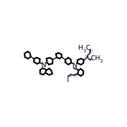 C=C/C(=C\C=C/C)c1ccc(N(\C=c2/cccc/c2=C/C=C\I)c2ccc(-c3cccc(-c4ccc(N(c5ccc(-c6ccccc6)cc5)c5cccc6ccccc56)cc4)c3)cc2)cc1